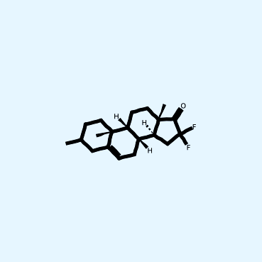 CC1CC[C@@]2(C)C(=CC[C@@H]3[C@H]2CC[C@]2(C)C(=O)C(F)(F)C[C@@H]32)C1